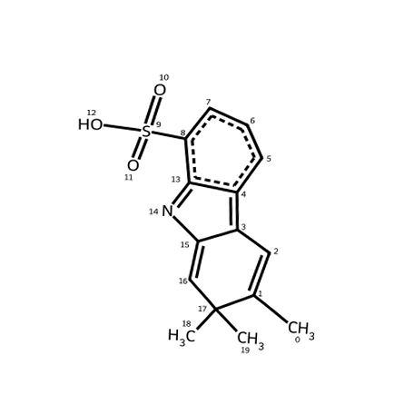 CC1=CC2=c3cccc(S(=O)(=O)O)c3=NC2=CC1(C)C